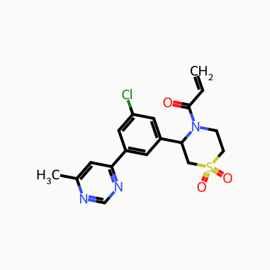 C=CC(=O)N1CCS(=O)(=O)CC1c1cc(Cl)cc(-c2cc(C)ncn2)c1